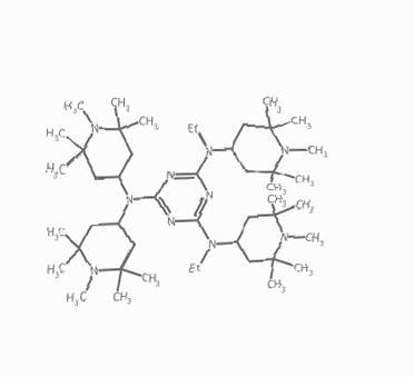 CCN(c1nc(N(CC)C2CC(C)(C)N(C)C(C)(C)C2)nc(N(C2CC(C)(C)N(C)C(C)(C)C2)C2CC(C)(C)N(C)C(C)(C)C2)n1)C1CC(C)(C)N(C)C(C)(C)C1